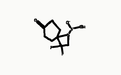 CC(C)(C)[S+]([O-])N1CC(F)(F)C12CCC(=O)CC2